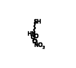 O=C(NCCCCCCS)Oc1ccc([N+](=O)[O-])cc1